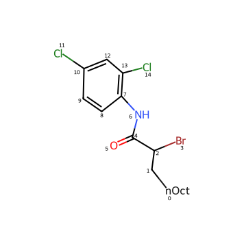 CCCCCCCCCC(Br)C(=O)Nc1ccc(Cl)cc1Cl